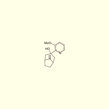 COc1cccnc1C1(O)CC2CCC(C1)N2